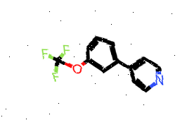 FC(F)(F)Oc1cccc(-c2ccncc2)c1